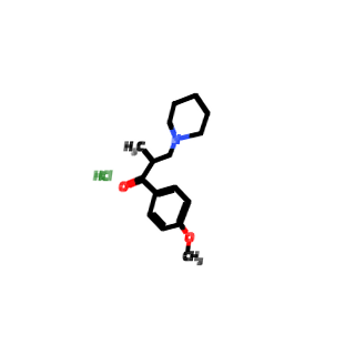 COc1ccc(C(=O)C(C)CN2CCCCC2)cc1.Cl